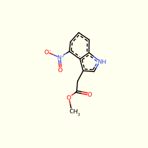 COC(=O)Cc1c[nH]c2cccc([N+](=O)[O-])c12